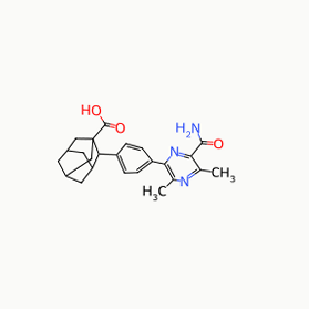 Cc1nc(C)c(-c2ccc(C3C4CC5CC(C4)CC3(C(=O)O)C5)cc2)nc1C(N)=O